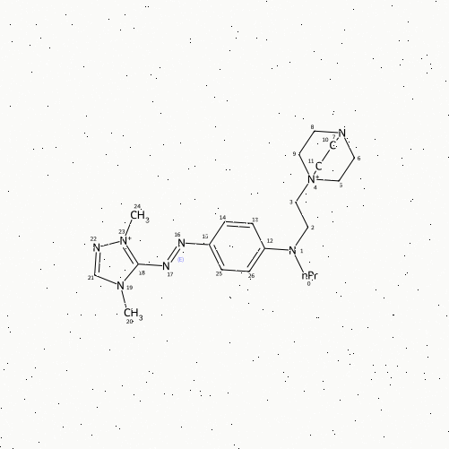 CCCN(CC[N+]12CCN(CC1)CC2)c1ccc(/N=N/c2n(C)cn[n+]2C)cc1